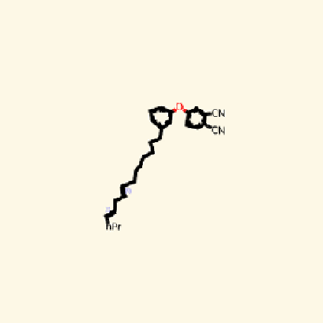 CCC/C=C/C/C=C/CCCCCCCc1cccc(Oc2ccc(C#N)c(C#N)c2)c1